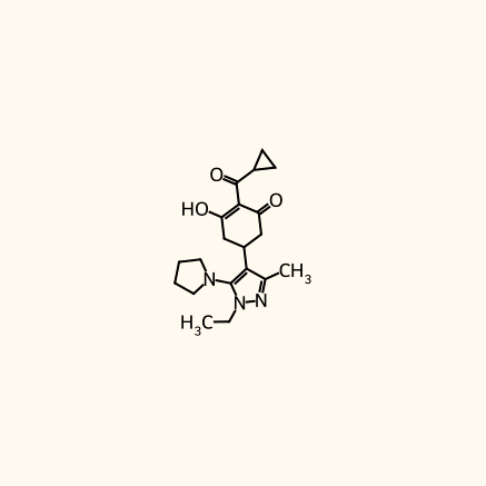 CCn1nc(C)c(C2CC(=O)C(C(=O)C3CC3)=C(O)C2)c1N1CCCC1